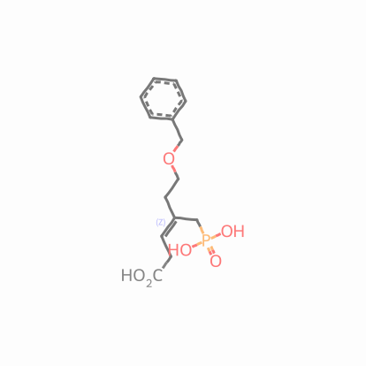 O=C(O)C/C=C(/CCOCc1ccccc1)CP(=O)(O)O